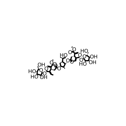 C/C=C1/[C@H](O[C@@H]2O[C@H](CO)[C@@H](O)[C@H](O)[C@H]2O)OC=C(C(=O)OC)[C@H]1CC(=O)OC[C@@H]1[C@@H](C)[C@@H](OC(=O)C[C@@H]2C(C(=O)OC)=CO[C@@H](O[C@@H]3O[C@H](CO)[C@@H](O)[C@H](O)[C@H]3O)/C2=C/C)C[C@H]1[C@@H](C)CO